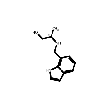 C[C@H](CO)NCc1cccc2cc[nH]c12